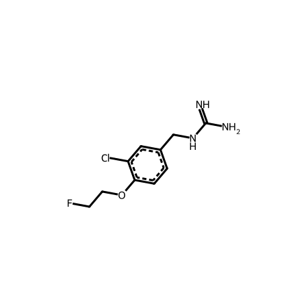 N=C(N)NCc1ccc(OCCF)c(Cl)c1